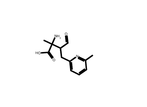 Cc1cccc(CC(C=O)C(C)(N)C(=O)O)n1